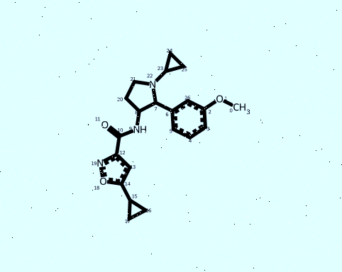 COc1cccc(C2C(NC(=O)c3cc(C4CC4)on3)CCN2C2CC2)c1